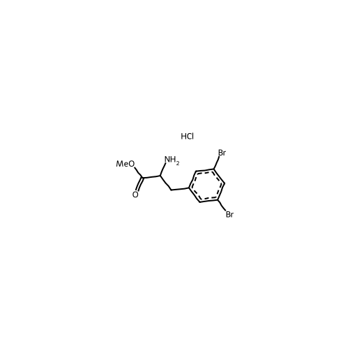 COC(=O)C(N)Cc1cc(Br)cc(Br)c1.Cl